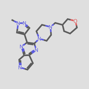 Cn1cc(-c2nc3cnccc3nc2N2CCN(CC3CCCOC3)CC2)cn1